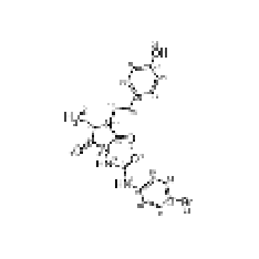 CC1C(=O)N(NC(=O)Nc2ccc(Br)cc2)C(=O)N1CCc1ccc(O)cc1